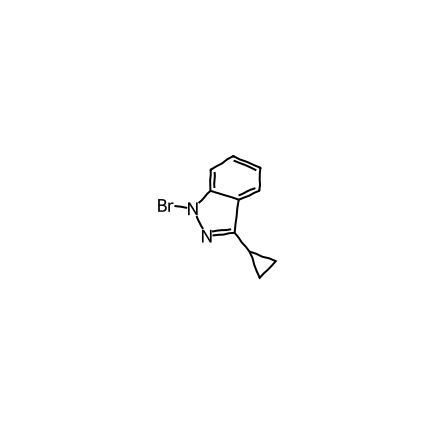 Brn1nc(C2CC2)c2ccccc21